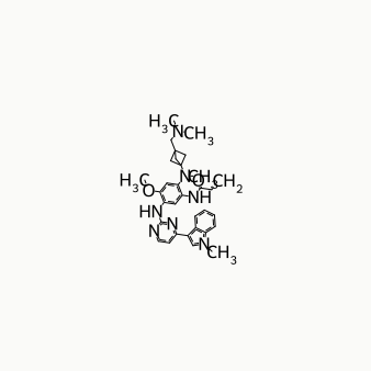 C=CC(=O)Nc1cc(Nc2nccc(-c3cn(C)c4ccccc34)n2)c(OC)cc1N(C)C12CC(CN(C)C)(C1)C2